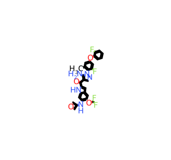 Cc1cc(Oc2ccccc2F)cc(F)c1-n1ncc(C(=O)c2cc3cc(OC(F)F)c(NC4COC4)cc3[nH]2)c1N